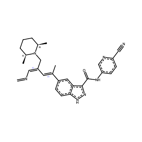 C=N/C=C(\C=C(/C)c1ccc2[nH]nc(C(=O)Nc3ccc(C#N)nc3)c2c1)CN1[C@H](C)CCC[C@@H]1C